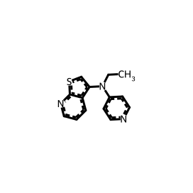 CCN(c1ccncc1)c1csc2ncccc12